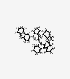 CC1(C)c2ccccc2-c2c1c1ccccc1c1c3ccccc3n(-c3nc(-c4ccc5sc6ccccc6c5c4)c4ccccc4n3)c21